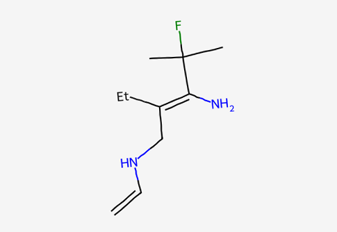 C=CNC/C(CC)=C(\N)C(C)(C)F